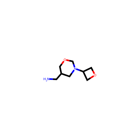 NCC1COCN(C2COC2)C1